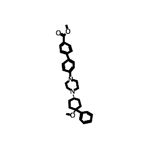 COC(=O)c1ccc(-c2ccc(N3CCN([C@H]4CC[C@@](OC)(c5ccccc5)CC4)CC3)cc2)cc1